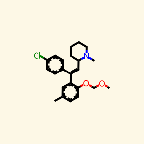 COCOc1ccc(C)cc1/C(=C/C1CCCCN1C)c1ccc(Cl)cc1